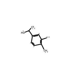 Cc1ccc(C(O)C(F)(F)F)cc1F